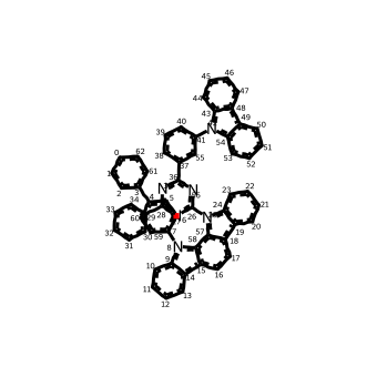 c1ccc(-c2ccc(-n3c4ccccc4c4ccc5c6ccccc6n(-c6nc(-c7ccccc7)nc(-c7cccc(-n8c9ccccc9c9ccccc98)c7)n6)c5c43)cc2)cc1